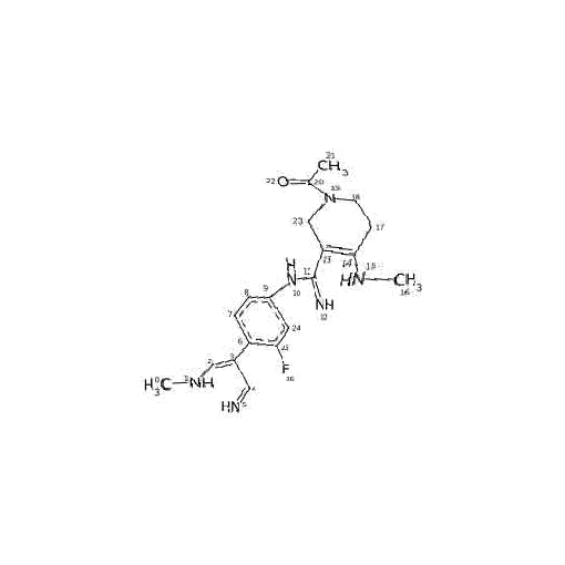 CN/C=C(\C=N)c1ccc(NC(=N)C2=C(NC)CCN(C(C)=O)C2)cc1F